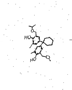 COCc1cc(C2(c3cc(C)c(O)c(COC(C)C)c3)CCCCC2)cc(C)c1O